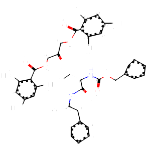 CC(C)C[C@H](NC(=O)OCc1ccccc1)C(=O)N[C@@H](Cc1ccccc1)C(=O)O.Cc1cc(C)c(C(=O)OCC(=O)COC(=O)c2c(C)cc(C)cc2C)c(C)c1